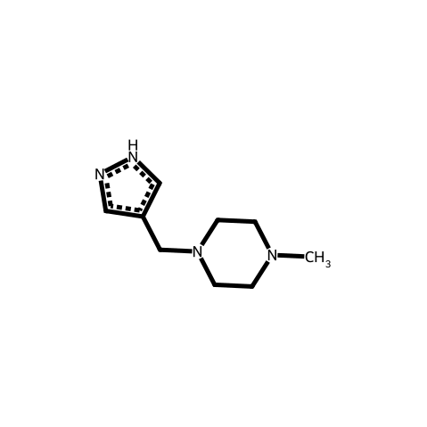 CN1CCN(Cc2cn[nH]c2)CC1